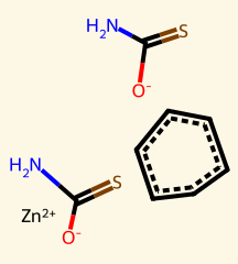 NC([O-])=S.NC([O-])=S.[Zn+2].c1ccccc1